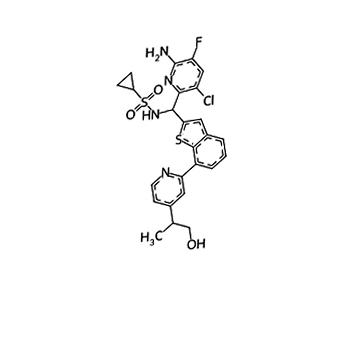 CC(CO)c1ccnc(-c2cccc3cc(C(NS(=O)(=O)C4CC4)c4nc(N)c(F)cc4Cl)sc23)c1